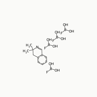 CC1(C)Cc2ccccc2C=N1.OB(O)F.OB(O)F.OB(O)F.OB(O)F